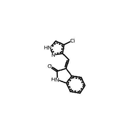 O=C1Nc2ccccc2/C1=C/c1n[nH]cc1Cl